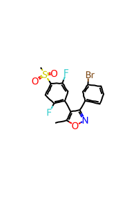 Cc1onc(-c2cccc(Br)c2)c1-c1cc(F)c(S(C)(=O)=O)cc1F